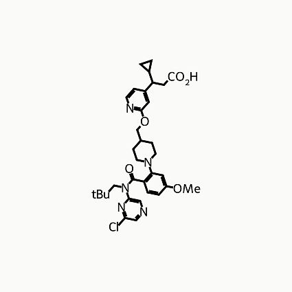 COc1ccc(C(=O)N(CC(C)(C)C)c2cncc(Cl)n2)c(N2CCC(COc3cc(C(CC(=O)O)C4CC4)ccn3)CC2)c1